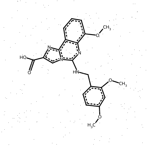 COc1ccc(CNc2nc3c(OC)cccc3c3nc(C(=O)O)cn23)c(OC)c1